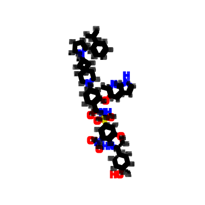 Cc1nc2[nH]ccc2cc1Oc1cc(N2CCC3(CC2)CC(N2CCC[C@@H]2c2ccccc2C(C)C)C3)ccc1C(=O)NS(=O)(=O)c1cc2c(c([N+](=O)[O-])c1)N[C@@H]([C@H]1CC[C@](C)(O)CC1)CO2